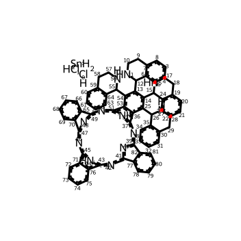 Cl.Cl.[SnH2].c1ccc2c(c1)CCNC2c1c(C2NCCc3ccccc32)c(C2NCCc3ccccc32)c2c3nc4nc(nc5[nH]c(nc6nc(nc([nH]3)c2c1C1NCCc2ccccc21)-c1ccccc1-6)c1ccccc51)-c1ccccc1-4